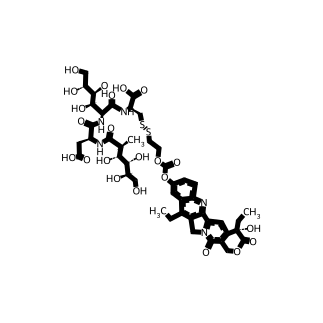 CCc1c2c(nc3ccc(OC(=O)OCCSSC[C@@H](NC(=O)[C@@H](NC(=O)[C@H](CC(=O)O)NC(=O)[C@@H](C)[C@@H](O)[C@H](O)[C@H](O)CO)[C@@H](O)[C@H](O)[C@H](O)CO)C(=O)O)cc13)-c1cc3c(c(=O)n1C2)COC(=O)[C@]3(O)CC